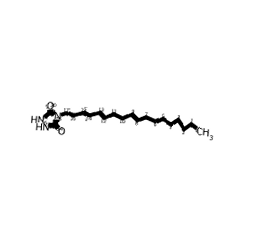 CCCCCCCCCCCCCCCCCCn1c(=O)[nH][nH]c1=O